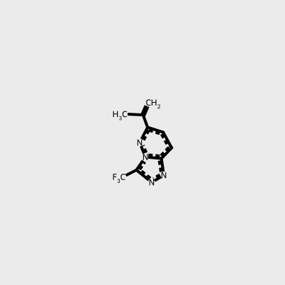 C=C(C)c1ccc2nnc(C(F)(F)F)n2n1